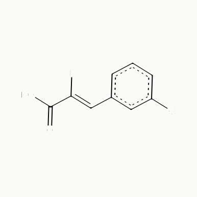 O=C(O)C(F)=Cc1cccc(Cl)c1